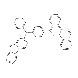 c1ccc(N(c2ccc(-c3cc4c5ccccc5ccc4c4ccccc34)cc2)c2ccc3c(c2)sc2ccccc23)cc1